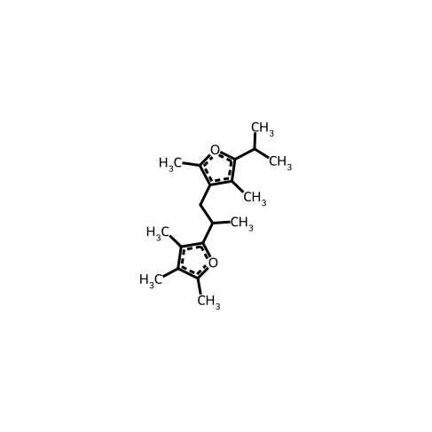 Cc1oc(C(C)Cc2c(C)oc(C(C)C)c2C)c(C)c1C